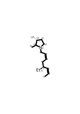 C/C=C\[C@@H](CC)C/C=C\CN1CC[C@@H](C)C1C